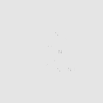 O=C(c1nccs1)N1CCc2[nH]cnc2[C@@H]1c1cc2ccccc2s1